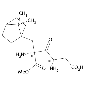 COC(=O)[C@@](N)(CC12CCC(CC1)C2(C)C)C(=O)[C@@H](N)CC(=O)O